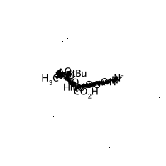 Cc1ccnc(N(CCCC(=O)N[C@@H](COCCOCCOCCOCCN=[N+]=[N-])C(=O)O)C(=O)OC(C)(C)C)c1